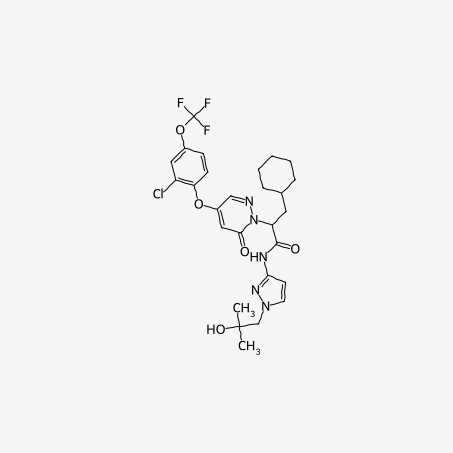 CC(C)(O)Cn1ccc(NC(=O)C(CC2CCCCC2)n2ncc(Oc3ccc(OC(F)(F)F)cc3Cl)cc2=O)n1